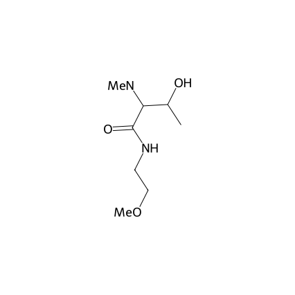 CNC(C(=O)NCCOC)C(C)O